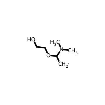 [CH2]C(OCCO)N(C)C